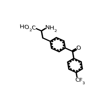 NC(Cc1ccc(C(=O)c2ccc(C(F)(F)F)cc2)cc1)C(=O)O